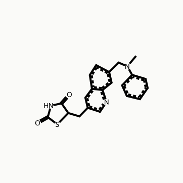 CN(Cc1ccc2cc(CC3SC(=O)NC3=O)cnc2c1)c1ccccc1